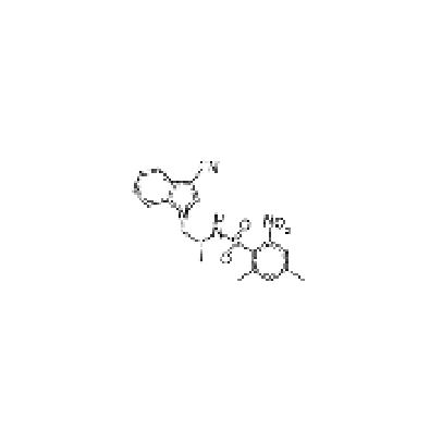 Cc1cc(C)c(S(=O)(=O)N[C@@H](C)Cn2cc(C#N)c3ccccc32)c([N+](=O)[O-])c1